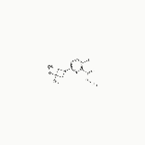 COC(=O)c1nc(N2CC(C)(OC)C2)ccc1Br